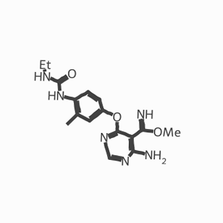 CCNC(=O)Nc1ccc(Oc2ncnc(N)c2C(=N)OC)cc1C